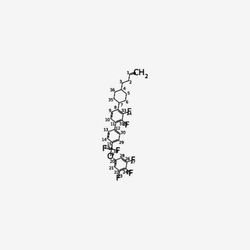 C=CCCC1CCC(c2ccc(-c3ccc(C(F)(F)Oc4cc(F)c(F)c(F)c4)cc3)c(F)c2F)CC1